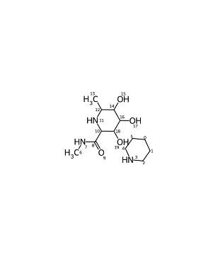 C1CCNCC1.CNC(=O)C1NC(C)C(O)C(O)C1O